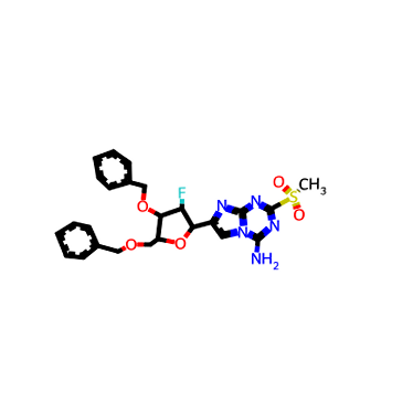 CS(=O)(=O)c1nc(N)n2cc(C3OC(COCc4ccccc4)C(OCc4ccccc4)C3F)nc2n1